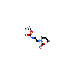 CC(C)(C)OC(=O)NCCN1CCCOC1=O